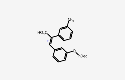 CCCCCCCCCCOc1cccc(/C=C(/C(=O)O)c2cccc(C(F)(F)F)c2)c1